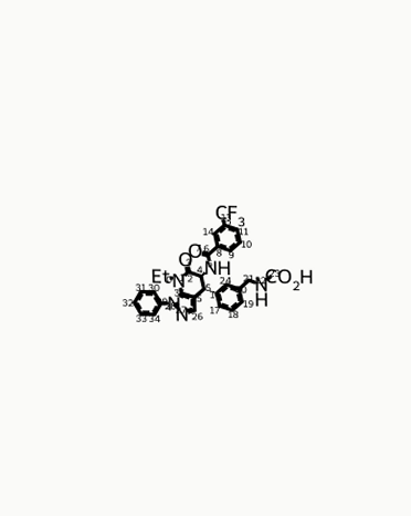 CCN1C(=O)[C@@H](NC(=O)c2cccc(C(F)(F)F)c2)[C@H](c2cccc(CNC(=O)O)c2)c2cnn(-c3ccccc3)c21